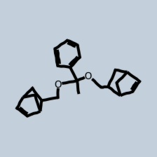 CC(OCC1CC2C=CC1C2)(OCC1CC2C=CC1C2)c1ccccc1